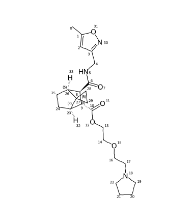 Cc1cc(CNC(=O)[C@H]2[C@H](C(=O)OCCOCCN3CCCC3)[C@H]3CC[C@@H]2C32CC2)no1